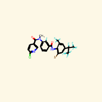 CN(C(=O)c1ccc(Cl)nc1)c1cccc(C(=O)Nc2c(Br)cc(C(F)(C(F)(F)F)C(F)(F)F)cc2C(F)(F)F)c1F